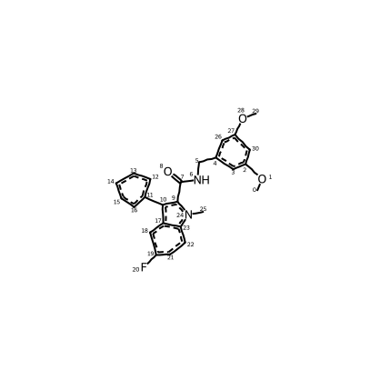 COc1cc(CNC(=O)c2c(-c3ccccc3)c3cc(F)ccc3n2C)cc(OC)c1